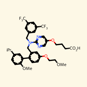 COCCOc1ccc(-c2cc(C(C)C)ccc2OC)c(CN(Cc2cc(C(F)(F)F)cc(C(F)(F)F)c2)c2ncc(OCCCC(=O)O)cn2)c1